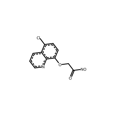 O=NC(=O)COc1ccc(Cl)c2cccnc12